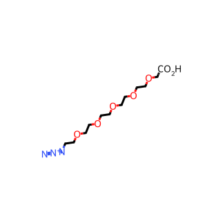 [N-]=[N+]=NCCOCCOCCOCCOCCOCC(=O)O